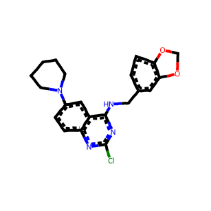 Clc1nc(NCc2ccc3c(c2)OCO3)c2cc(N3CCCCC3)ccc2n1